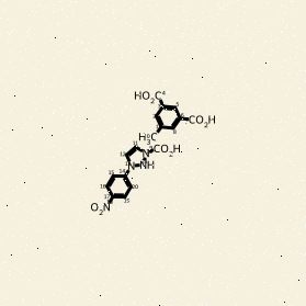 Cc1cc(C(=O)O)cc(C(=O)O)c1.O=C(O)N1C=CN(c2ccc([N+](=O)[O-])cc2)N1